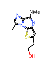 CNc1nc2cc(CCO)sc2n2c(C)cnc12